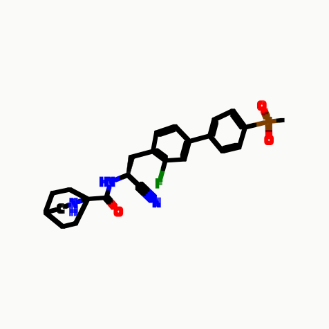 CS(=O)(=O)c1ccc(-c2ccc(C[C@@H](C#N)NC(=O)C34CCC(CC3)CN4)c(F)c2)cc1